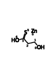 OCCC(O)=S.[Zn]